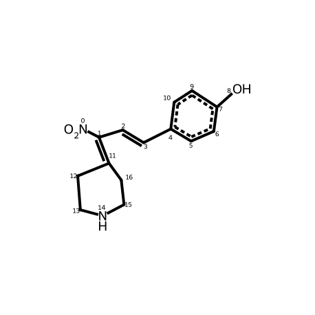 O=[N+]([O-])C(C=Cc1ccc(O)cc1)=C1CCNCC1